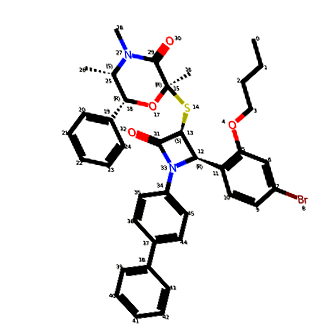 CCCCOc1cc(Br)ccc1[C@@H]1[C@H](S[C@@]2(C)O[C@H](c3ccccc3)[C@H](C)N(C)C2=O)C(=O)N1c1ccc(-c2ccccc2)cc1